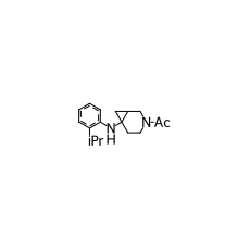 CC(=O)N1CCC2(Nc3ccccc3C(C)C)CC2C1